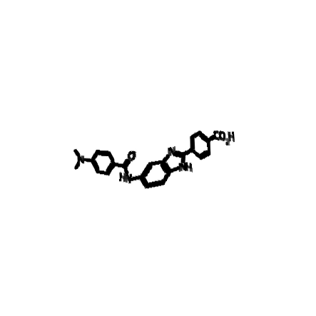 CN(C)c1ccc(C(=O)Nc2ccc3[nH]c(-c4ccc(C(=O)O)cc4)nc3c2)cc1